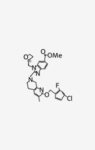 COC(=O)c1ccc2nc(CN3CCc4cc(C)c(OCc5ccc(Cl)cc5F)nc4C3)n(C[C@@H]3CCO3)c2c1